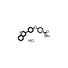 CC(C)(C)C(=O)N1CCC(Oc2ccc(-c3cnc4ccccc4c3)cc2)CC1.Cl